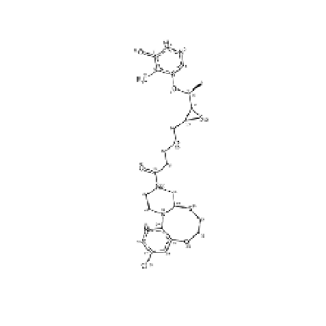 C[C@H](Oc1cn[nH]c(=O)c1C(F)(F)F)C1SC1COCCC(=O)N1CCN2c3ncc(Cl)cc3OCCSC2C1